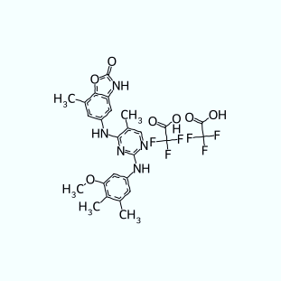 COc1cc(Nc2ncc(C)c(Nc3cc(C)c4oc(=O)[nH]c4c3)n2)cc(C)c1C.O=C(O)C(F)(F)F.O=C(O)C(F)(F)F